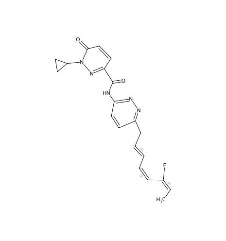 C\C=C(F)/C=C\C=C\Cc1ccc(NC(=O)c2ccc(=O)n(C3CC3)n2)nn1